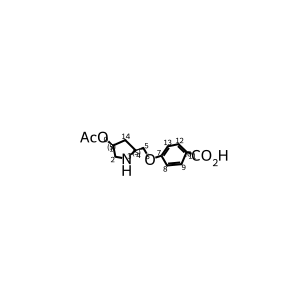 CC(=O)O[C@@H]1CN[C@H](COc2ccc(C(=O)O)cc2)C1